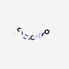 Cc1ccc(-c2cn3nc(N4CCC(C(=O)N5CCN(CCn6c(C)ccc6C)CC5)CC4)sc3n2)cc1